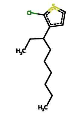 CCCCCCC(CC)c1ccsc1Cl